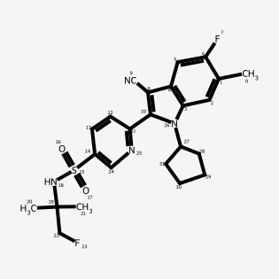 Cc1cc2c(cc1F)c(C#N)c(-c1ccc(S(=O)(=O)NC(C)(C)CF)cn1)n2C1CCCC1